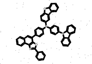 c1ccc(-c2nc3c(o2)c(-c2ccc(N(c4ccc(-n5c6ccccc6c6ccccc65)cc4)c4ccc5oc6ccccc6c5c4)cc2)cc2ccccc23)cc1